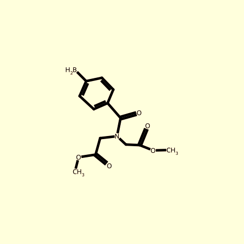 Bc1ccc(C(=O)N(CC(=O)OC)CC(=O)OC)cc1